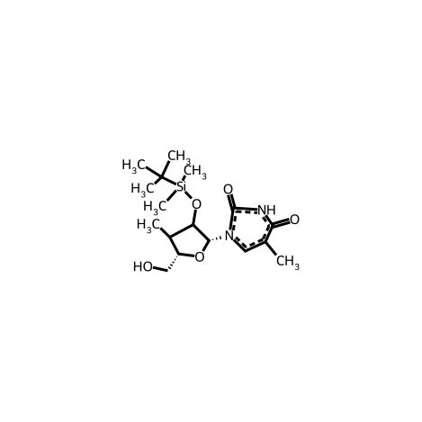 Cc1cn([C@@H]2O[C@H](CO)C(C)C2O[Si](C)(C)C(C)(C)C)c(=O)[nH]c1=O